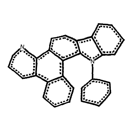 c1ccc(-n2c3ccccc3c3ccc4c5ncccc5c5ccccc5c4c32)cc1